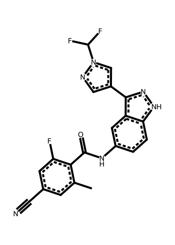 Cc1cc(C#N)cc(F)c1C(=O)Nc1ccc2[nH]nc(-c3cnn(C(F)F)c3)c2c1